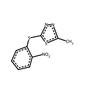 Cc1nnc(Sc2ccccc2[N+](=O)[O-])s1